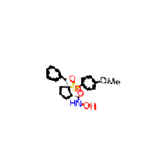 COc1ccc(S(=O)(=O)[C@]2(Cc3ccccc3)CCC[C@H]2C(=O)NO)cc1